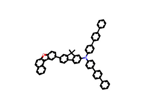 CC1(C)c2cc(-c3ccc4oc5ccc6ccccc6c5c4c3)ccc2-c2ccc(N(c3ccc(-c4ccc(-c5ccccc5)cc4)cc3)c3ccc(-c4ccc(-c5ccccc5)cc4)cc3)cc21